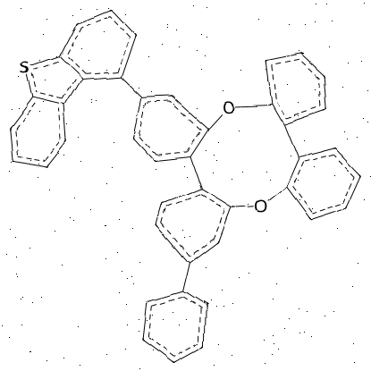 c1ccc(-c2ccc3c(c2)Oc2ccccc2-c2ccccc2Oc2cc(-c4cccc5sc6ccccc6c45)ccc2-3)cc1